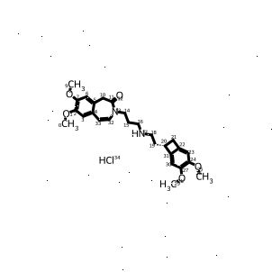 COc1cc2c(cc1OC)CC(=O)N(CCCNCC[C@@H]1Cc3cc(OC)c(OC)cc31)C=C2.Cl